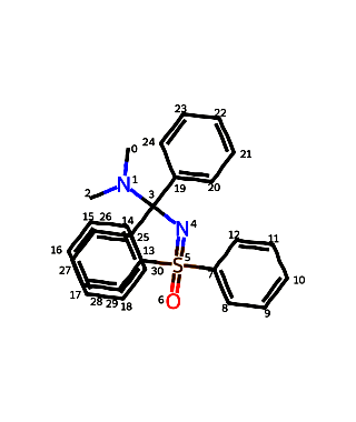 CN(C)C(N=S(=O)(c1ccccc1)c1ccccc1)(c1ccccc1)c1ccccc1